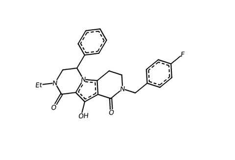 CCN1CC(c2ccccc2)n2c3c(c(O)c2C1=O)C(=O)N(Cc1ccc(F)cc1)CC3